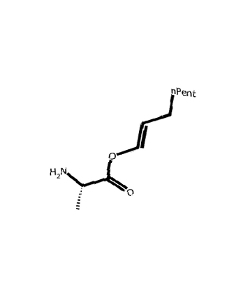 CCCCCCC=COC(=O)[C@H](C)N